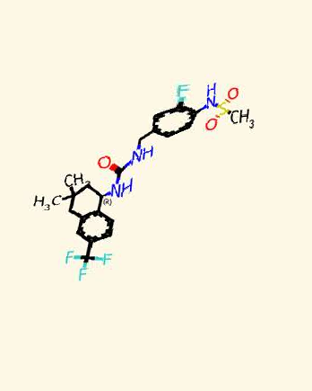 CC1(C)Cc2cc(C(F)(F)F)ccc2[C@H](NC(=O)NCc2ccc(NS(C)(=O)=O)c(F)c2)C1